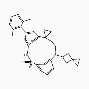 Cc1cccc(C)c1-c1cc2nc(n1)NS(=O)(=O)c1cccc(c1)C(C1CC3(CC3)C1)CCC21CC1